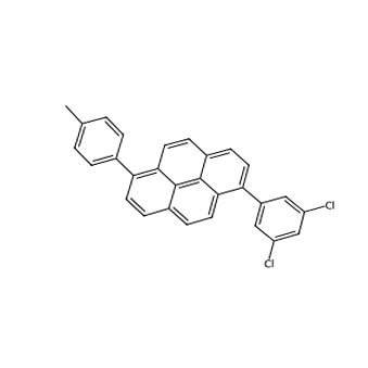 Cc1ccc(-c2ccc3ccc4c(-c5cc(Cl)cc(Cl)c5)ccc5ccc2c3c54)cc1